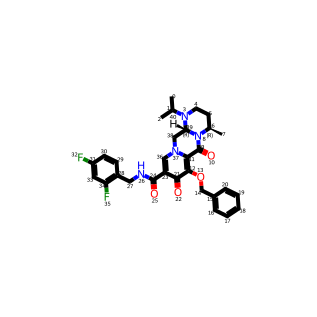 CC(C)N1CC[C@@H](C)N2C(=O)c3c(OCc4ccccc4)c(=O)c(C(=O)NCc4ccc(F)cc4F)cn3C[C@H]12